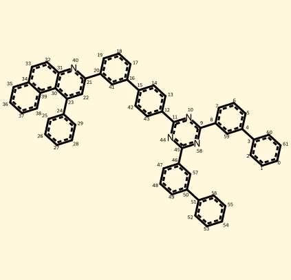 c1ccc(-c2cccc(-c3nc(-c4ccc(-c5cccc(-c6cc(-c7ccccc7)c7c(ccc8ccccc87)n6)c5)cc4)nc(-c4cccc(-c5ccccc5)c4)n3)c2)cc1